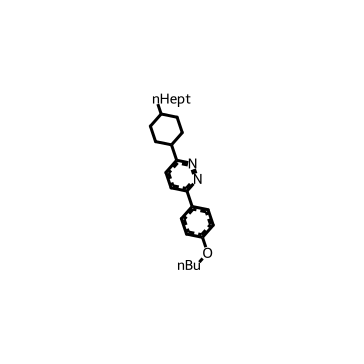 CCCCCCCC1CCC(c2ccc(-c3ccc(OCCCC)cc3)nn2)CC1